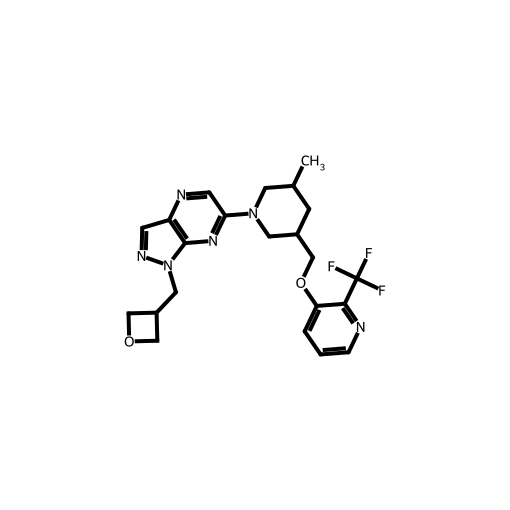 CC1CC(COc2cccnc2C(F)(F)F)CN(c2cnc3cnn(CC4COC4)c3n2)C1